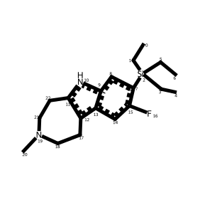 CC[Si](CC)(CC)c1cc2[nH]c3c(c2cc1F)CCN(C)CC3